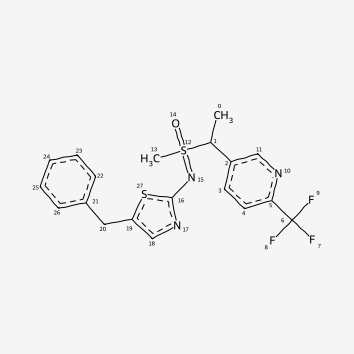 CC(c1ccc(C(F)(F)F)nc1)S(C)(=O)=Nc1ncc(Cc2ccccc2)s1